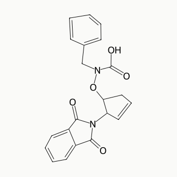 O=C(O)N(Cc1ccccc1)OC1CC=CC1N1C(=O)c2ccccc2C1=O